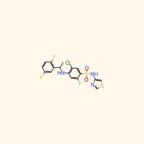 CC(Nc1cc(F)c(S(=O)(=O)Nc2cscn2)cc1Cl)c1cc(F)ccc1F